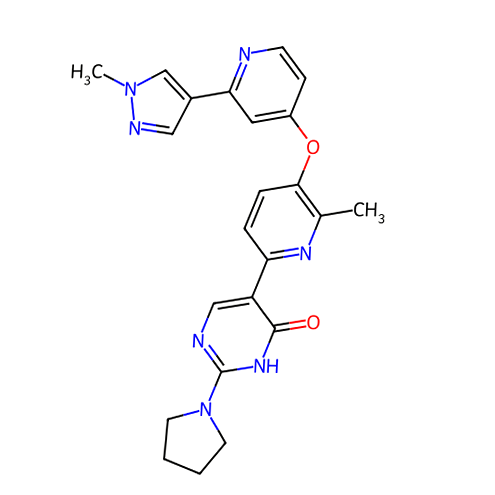 Cc1nc(-c2cnc(N3CCCC3)[nH]c2=O)ccc1Oc1ccnc(-c2cnn(C)c2)c1